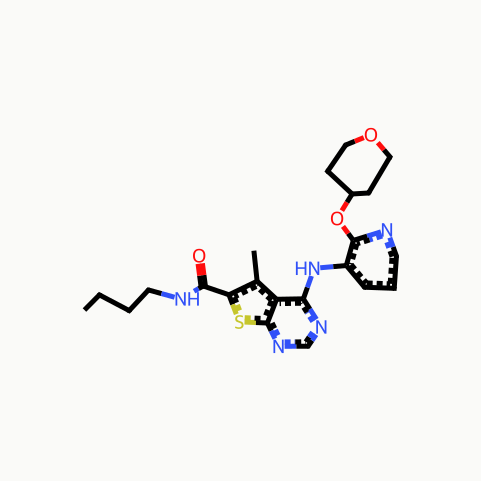 CCCCNC(=O)c1sc2ncnc(Nc3cccnc3OC3CCOCC3)c2c1C